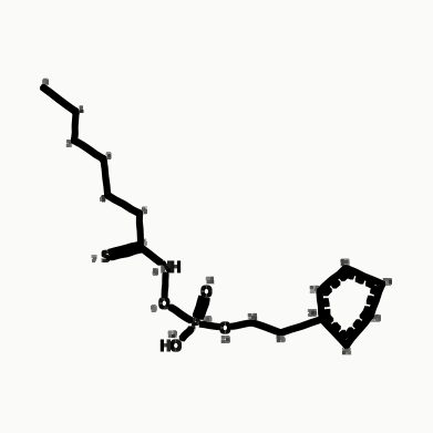 CCCCCCC(=S)NOP(=O)(O)OCCc1ccccc1